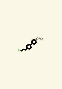 COc1ccc(-c2ccc(CCCF)cc2)cc1